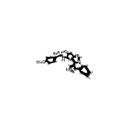 COc1ccc(CNc2nc3c(-c4c[nH]nc4-c4ccccc4)ncnc3cc2OC)cc1